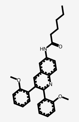 CCCCCC(=O)Nc1ccc2nc(-c3ccccc3OC)c(-c3ccccc3OC)cc2c1